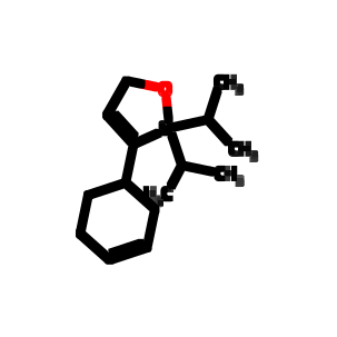 CC(C)[Si]1(C(C)C)OCC=C1C1CC=CCC1